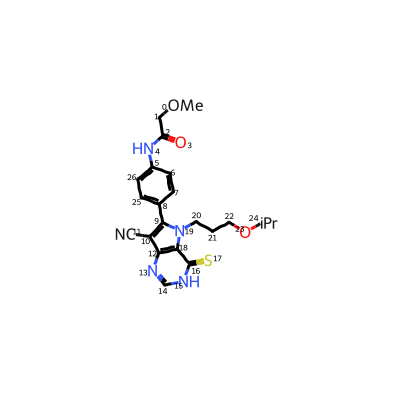 COCC(=O)Nc1ccc(-c2c(C#N)c3nc[nH]c(=S)c3n2CCCOC(C)C)cc1